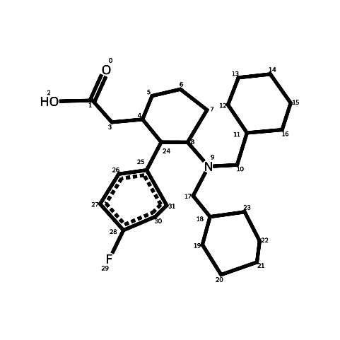 O=C(O)CC1CCCC(N(CC2CCCCC2)CC2CCCCC2)C1c1ccc(F)cc1